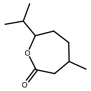 CC1CCC(C(C)C)OC(=O)C1